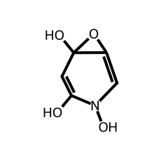 OC1=CC2(O)OC2=CN1O